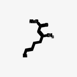 CCC=CCCC(C)=CC(=O)OC